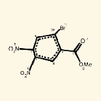 COC(=O)c1cc([N+](=O)[O-])c([N+](=O)[O-])cc1Br